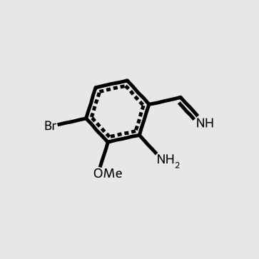 COc1c(Br)ccc(C=N)c1N